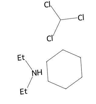 C1CCCCC1.CCNCC.ClC(Cl)Cl